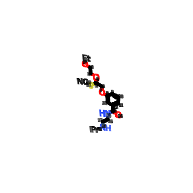 CCOCCOC(COc1cccc(C(=O)NCCNC(C)C)c1)SC#N